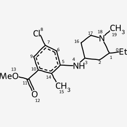 CCC1CC(Nc2cc(Cl)cc(C(=O)OC)c2C)CCN1C